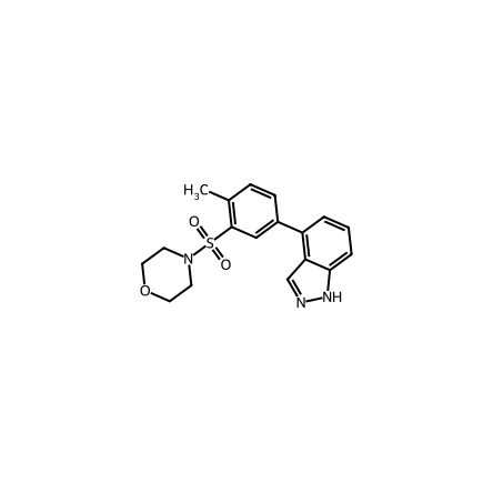 Cc1ccc(-c2cccc3[nH]ncc23)cc1S(=O)(=O)N1CCOCC1